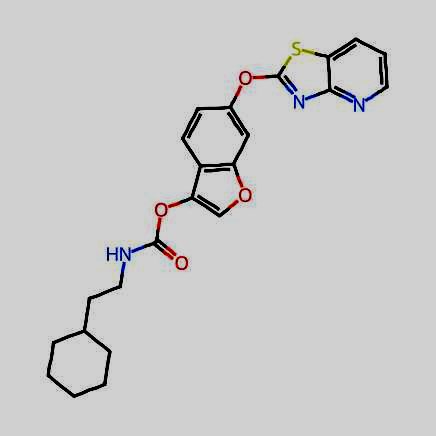 O=C(NCCC1CCCCC1)Oc1coc2cc(Oc3nc4ncccc4s3)ccc12